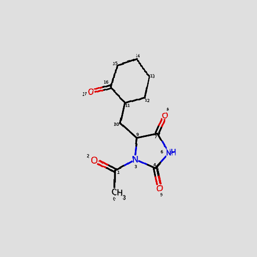 CC(=O)N1C(=O)NC(=O)C1CC1CCCCC1=O